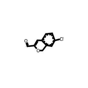 O=[C]C1=Cc2ccc(Cl)cc2CO1